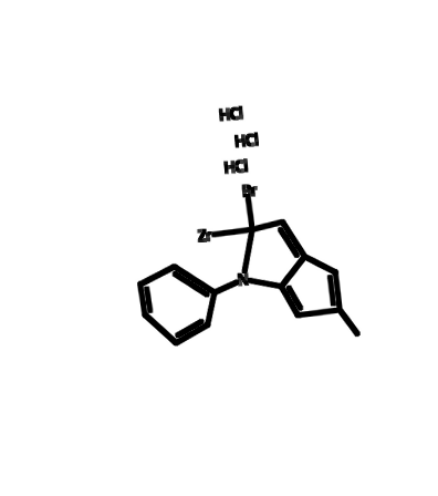 CC1=CC2=C[C](Br)([Zr])N(c3ccccc3)C2=C1.Cl.Cl.Cl